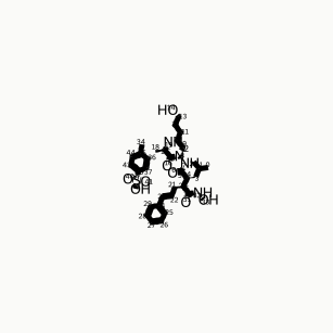 CC(C)C[C@@H](C(=O)NN(CCCCCO)C(=O)[C@@H](C)N)[C@H](CC=Cc1ccccc1)C(=O)NO.Cc1ccc(S(=O)(=O)O)cc1